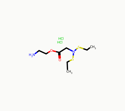 CCSN(CC(=O)OCCN)SCC.Cl.Cl